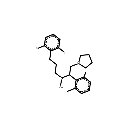 CC(=O)N(CCCc1c(F)cccc1F)C(CN1CCCC1)c1c(C)cccc1C